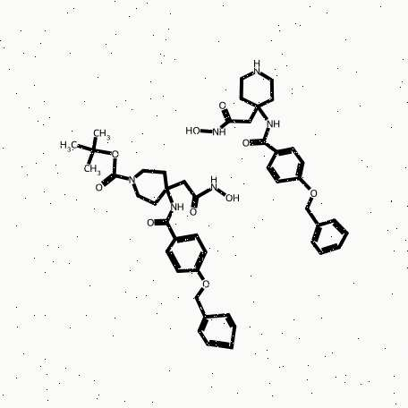 CC(C)(C)OC(=O)N1CCC(CC(=O)NO)(NC(=O)c2ccc(OCc3ccccc3)cc2)CC1.O=C(CC1(NC(=O)c2ccc(OCc3ccccc3)cc2)CCNCC1)NO